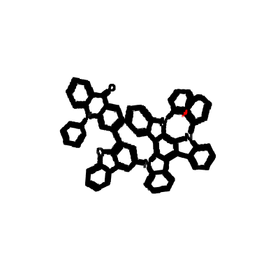 O=c1c2ccccc2n(-c2ccccc2)c2cc(-c3cc(-n4c5ccccc5c5c6c7ccccc7n(-c7ccccc7)c6c6c(c7ccccc7n6-c6ccccc6)c54)cc4c3oc3ccccc34)ccc12